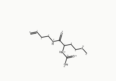 C=CCCNC(=O)C(CCSC)NC(=O)O